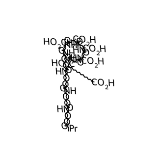 CC(C)C(=O)COCCOCCNC(=O)COCCOCCNC(=O)COCCOCCNC(=O)COCCOCCNC(=O)CC[C@H](NC(=O)CC[C@H](NC(=O)CC[C@H](NC(=O)CC[C@H](NC(=O)CC[C@H](NC(=O)CCCCCCCCCCCCCCCCC(=O)O)C(=O)O)C(=O)O)C(=O)O)C(=O)O)C(=O)O